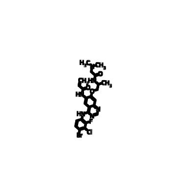 C=CC(=O)Nc1cc2c(Nc3ccc(Br)c(Cl)c3F)ncnc2cc1OCC(C)NC(=O)CN(C)C